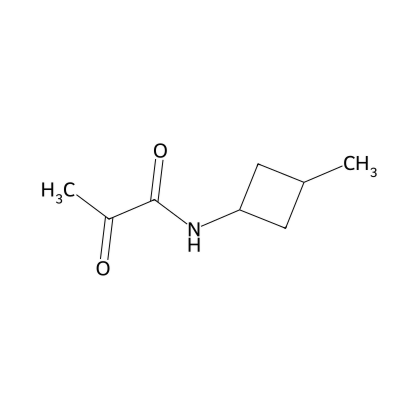 CC(=O)C(=O)NC1CC(C)C1